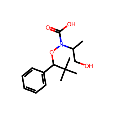 CC(CO)N(OC(c1ccccc1)C(C)(C)C)C(=O)O